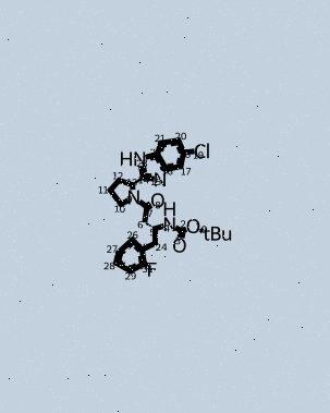 CC(C)(C)OC(=O)N[C@@H](CC(=O)N1CCC[C@H]1c1nc2cc(Cl)ccc2[nH]1)Cc1ccccc1F